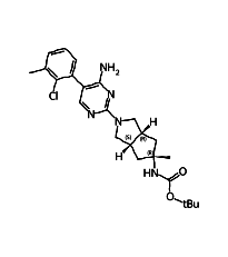 Cc1cccc(-c2cnc(N3C[C@@H]4C[C@](C)(NC(=O)OC(C)(C)C)C[C@@H]4C3)nc2N)c1Cl